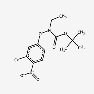 CCN(Oc1ccc([N+](=O)[O-])c(Cl)c1)C(=O)OC(C)(C)C